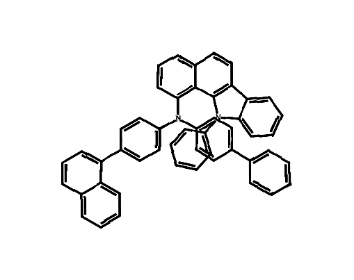 c1ccc(-c2ccc(N(c3ccc(-c4cccc5ccccc45)cc3)c3cccc4ccc5c6ccccc6n(-c6ccccc6)c5c34)cc2)cc1